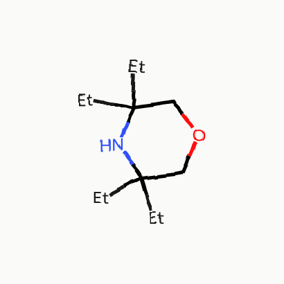 CCC1(CC)COCC(CC)(CC)N1